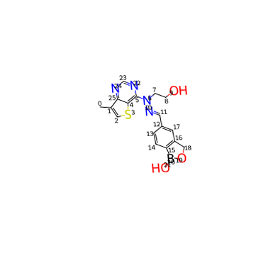 Cc1csc2c(N(CCO)/N=C/c3ccc4c(c3)COB4O)ncnc12